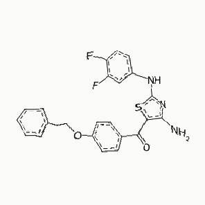 Nc1nc(Nc2ccc(F)c(F)c2)sc1C(=O)c1ccc(OCc2ccccc2)cc1